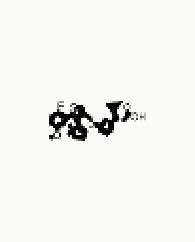 COc1ccc(F)c(-c2scc(COc3cccc([C@@H](CC(=O)O)C4CC4)c3)c2C2=CCCC2(C)C)c1